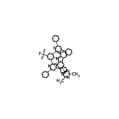 Cc1nc(C)nc(-c2ccc3c(c2)c2ccccc2n3-c2c(-c3nc(-c4ccccc4)cc(-c4ccccc4)n3)cc(C(F)(F)F)cc2-c2nc(-c3ccccc3)cc(-c3ccccc3)n2)n1